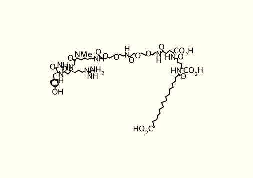 CN[C@@H](CCCCNC(=O)COCCOCCNC(=O)COCCOCCNC(=O)CC[C@H](NC(=O)CC[C@H](NC(=O)CCCCCCCCCCCCCCCCC(=O)O)C(=O)O)C(=O)O)C(=O)CN[C@@H](CCCNC(=N)N)CC(=O)N[C@@H](Cc1ccc(O)cc1)C(N)=O